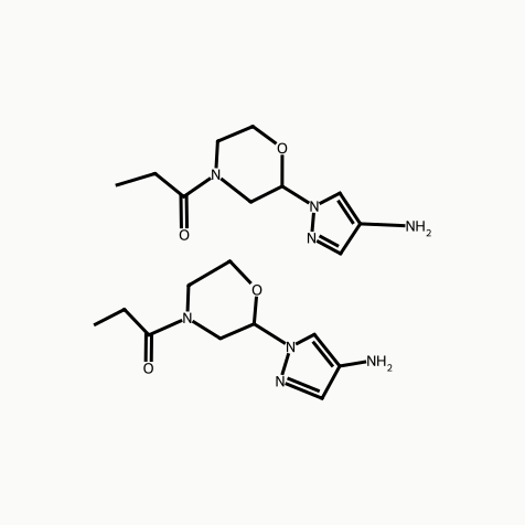 CCC(=O)N1CCOC(n2cc(N)cn2)C1.CCC(=O)N1CCOC(n2cc(N)cn2)C1